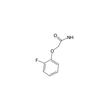 [NH]C(=O)COc1ccccc1F